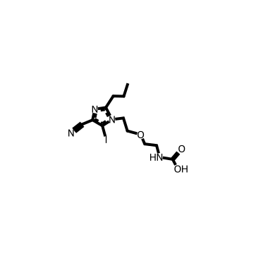 CCCc1nc(C#N)c(I)n1CCOCCNC(=O)O